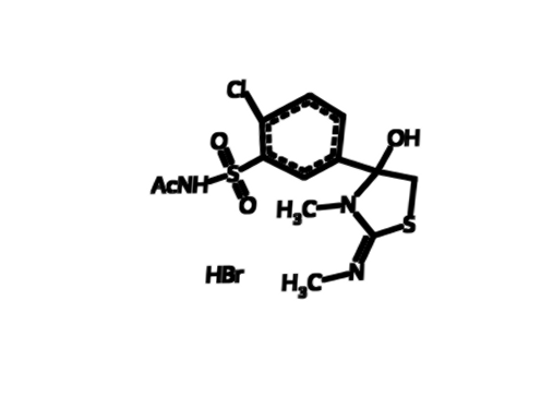 Br.CN=C1SCC(O)(c2ccc(Cl)c(S(=O)(=O)NC(C)=O)c2)N1C